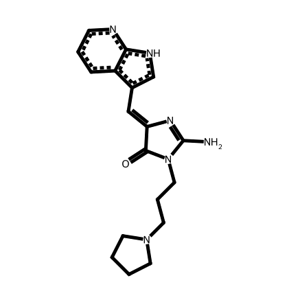 NC1=NC(=Cc2c[nH]c3ncccc23)C(=O)N1CCCN1CCCC1